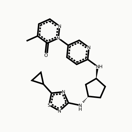 Cc1ccnn(-c2ccc(N[C@H]3CC[C@H](Nc4nsc(C5CC5)n4)C3)nc2)c1=O